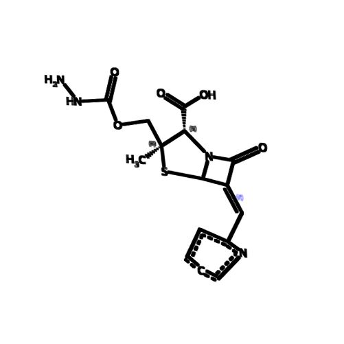 C[C@@]1(COC(=O)NN)SC2/C(=C\c3ccccn3)C(=O)N2[C@H]1C(=O)O